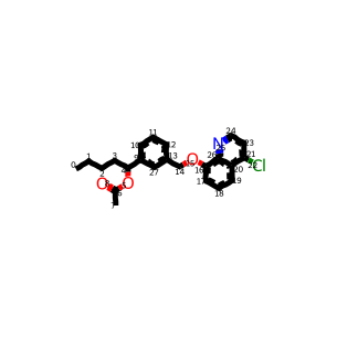 CCCCC(OC(C)=O)c1cccc(COc2cccc3c(Cl)ccnc23)c1